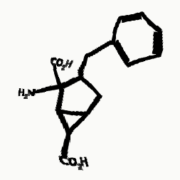 NC1(C(=O)O)C(Cc2ccccc2)CC2C(C(=O)O)C21